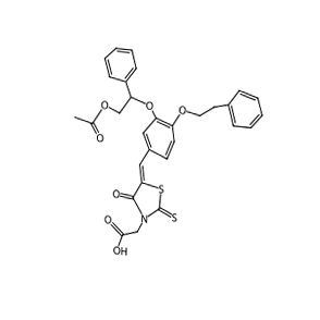 CC(=O)OCC(Oc1cc(C=C2SC(=S)N(CC(=O)O)C2=O)ccc1OCCc1ccccc1)c1ccccc1